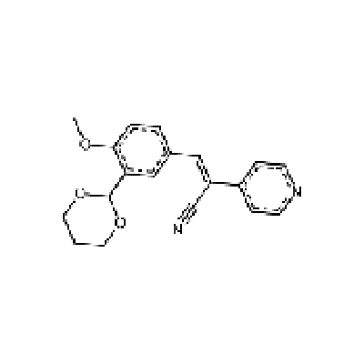 COc1ccc(C=C(C#N)c2ccncc2)cc1C1OCCCO1